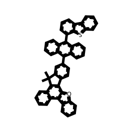 CC1(C)c2cc(-c3c4ccccc4c(-c4cccc5c4sc4ccccc45)c4ccccc34)ccc2-c2c1c1ccccc1c1c2oc2ccccc21